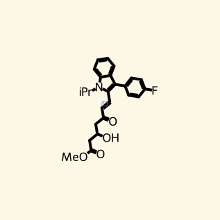 COC(=O)CC(O)CC(=O)/C=C/c1c(-c2ccc(F)cc2)c2ccccc2n1C(C)C